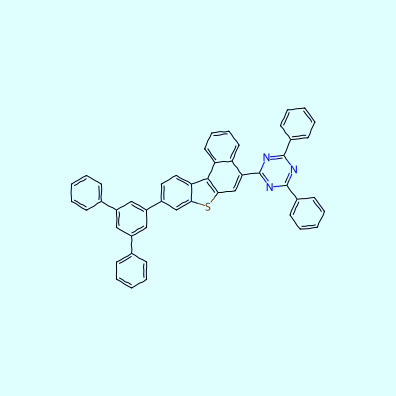 c1ccc(-c2cc(-c3ccccc3)cc(-c3ccc4c(c3)sc3cc(-c5nc(-c6ccccc6)nc(-c6ccccc6)n5)c5ccccc5c34)c2)cc1